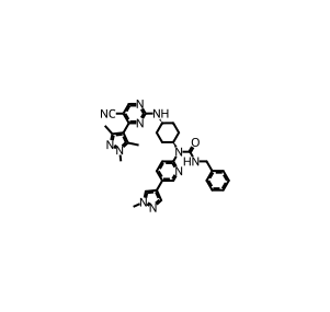 Cc1nn(C)c(C)c1-c1nc(N[C@H]2CC[C@H](N(C(=O)NCc3ccccc3)c3ccc(-c4cnn(C)c4)cn3)CC2)ncc1C#N